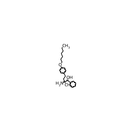 CCCCCCCOc1ccc(CC[C@@](C)(N)[C@H](O)c2ccccc2)cc1